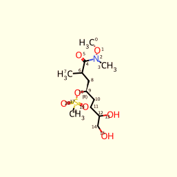 CON(C)C(=O)C(C)C[C@@H](CCC(O)CO)OS(C)(=O)=O